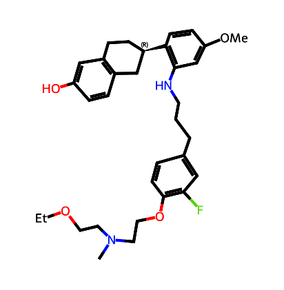 CCOCCN(C)CCOc1ccc(CCCNc2cc(OC)ccc2[C@@H]2CCc3cc(O)ccc3C2)cc1F